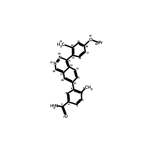 Cc1ccc(C(N)=O)cc1-c1ccc2c(-c3ccc(OC(C)C)cc3C)nncc2c1